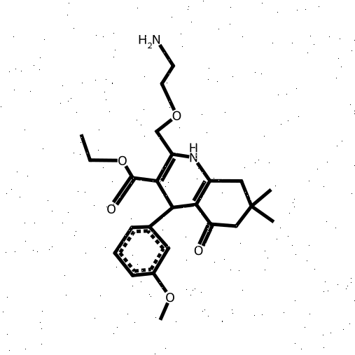 CCOC(=O)C1=C(COCCN)NC2=C(C(=O)CC(C)(C)C2)C1c1cccc(OC)c1